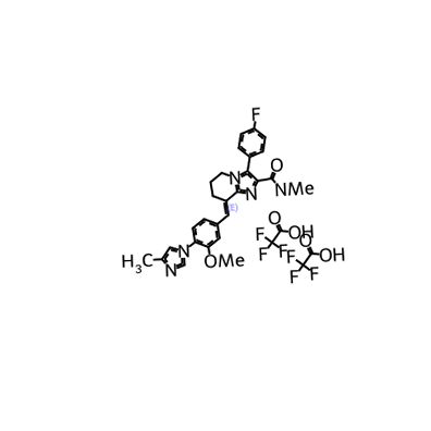 CNC(=O)c1nc2n(c1-c1ccc(F)cc1)CCC/C2=C\c1ccc(-n2cnc(C)c2)c(OC)c1.O=C(O)C(F)(F)F.O=C(O)C(F)(F)F